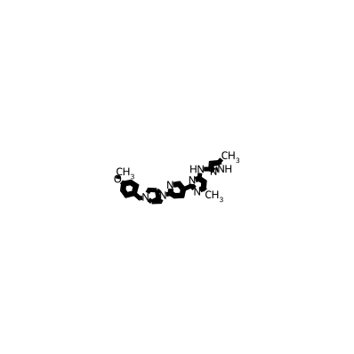 COc1ccc(CN2CC3CC2CN3c2ccc(-c3nc(C)cc(Nc4cc(C)[nH]n4)n3)cn2)cc1